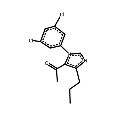 CCCc1ncn(-c2cc(Cl)cc(Cl)c2)c1C(C)=O